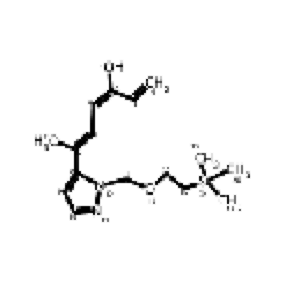 C=C/C(O)=C\C=C(/C)c1ccnn1COCC[Si](C)(C)C